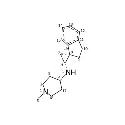 CN1CCC(N[C@@H]2C[C@]23CCc2ccccc23)CC1